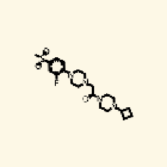 CS(=O)(=O)c1ccc(N2CCN(CC(=O)N3CCN(C4CCC4)CC3)CC2)c(F)c1